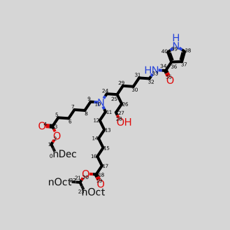 CCCCCCCCCCCOC(=O)CCCCCN(CCCCCCCC(=O)OC(CCCCCCCC)CCCCCCCC)CC(CCO)CCCCNC(=O)c1cc[nH]c1